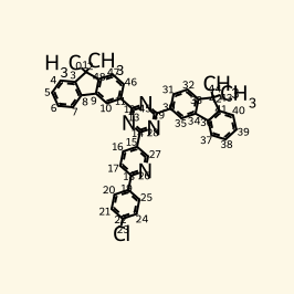 CC1(C)c2ccccc2-c2cc(-c3nc(-c4ccc(-c5ccc(Cl)cc5)nc4)nc(-c4ccc5c(c4)-c4ccccc4C5(C)C)n3)ccc21